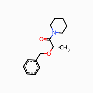 C[C@H](OCc1ccccc1)C(=O)N1CCCCC1